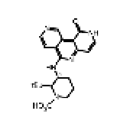 CC(C)(C)C1[C@@H](Nc2nc3cc[nH]c(=O)c3c3cnccc23)CCCN1C(=O)O